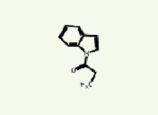 CCC(=O)n1ccc2ccccc21